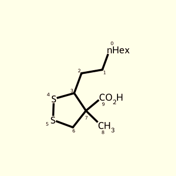 CCCCCCCCC1SSCC1(C)C(=O)O